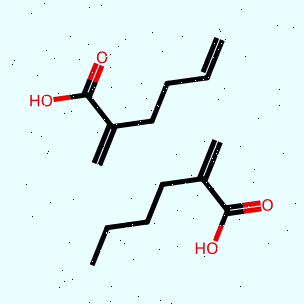 C=C(CCCC)C(=O)O.C=CCCC(=C)C(=O)O